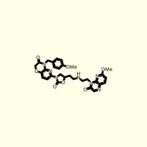 COc1ccc(CN2C(=O)COc3ccc(N4CC(CCNCCn5c(=O)cnc6ccc(OC)nc65)OC4=O)nc32)cc1